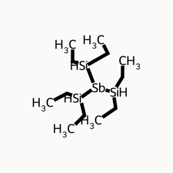 CC[SiH](CC)[Sb]([SiH](CC)CC)[SiH](CC)CC